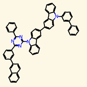 c1ccc(-c2cccc(-n3c4ccccc4c4cc(-c5ccc6c(c5)c5ccccc5n6-c5nc(-c6ccccc6)nc(-c6cccc(-c7ccc8ccccc8c7)c6)n5)ccc43)c2)cc1